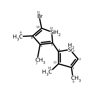 CC1=C[SiH2]C(C2=C(C)C(C)=C(Br)[SiH2]2)=C1C